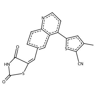 Cc1cc(-c2ccnc3ccc(C=C4SC(=O)NC4=O)cc23)sc1C#N